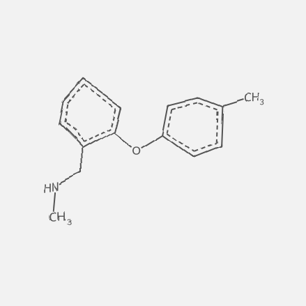 CNCc1ccccc1Oc1ccc(C)cc1